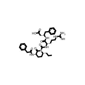 CCC[C@@H]1CC[C@H](NC(=O)Cc2ccccc2)C(=O)N1C(=O)N[C@@H](CCCNC(=N)N)C(=O)N[C@H](CC(=O)O)Cc1ccccc1